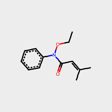 CCON(C(=O)C=C(C)C)c1ccccc1